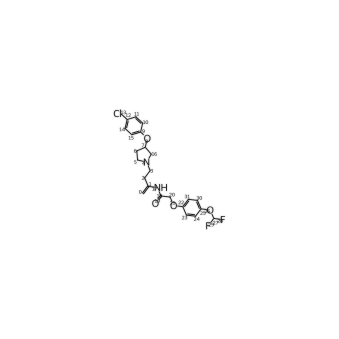 C=C(CCN1CCC(Oc2ccc(Cl)cc2)C1)NC(=O)COc1ccc(OC(F)F)cc1